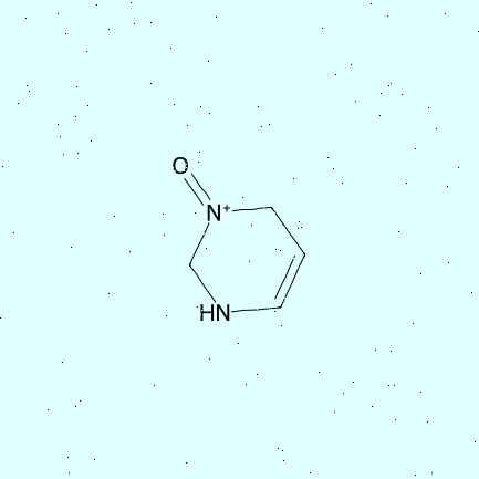 O=[N+]1CC=CNC1